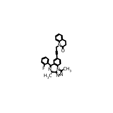 Cc1nnc2n1-c1ccc(C#CCN3C(=O)CCc4ccccc43)cc1C(c1ccccc1F)=N[C@H]2C